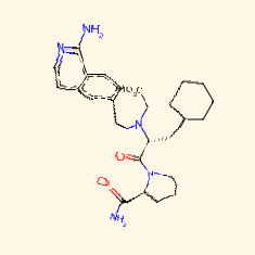 NC(=O)[C@@H]1CCCN1C(=O)[C@@H](CC1CCCCC1)N(CC(=O)O)Cc1ccc2c(N)nccc2c1